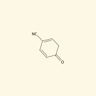 N#CC1=CCC(=O)[C]=C1